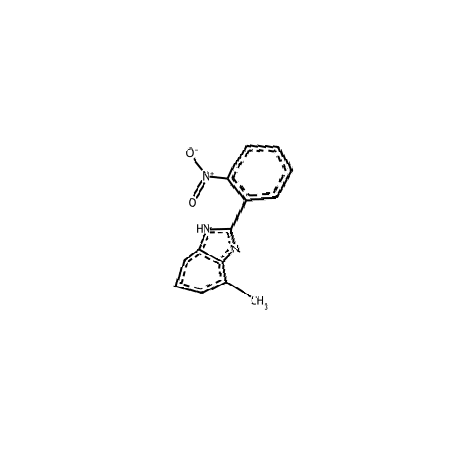 Cc1cccc2[nH]c(-c3ccccc3[N+](=O)[O-])nc12